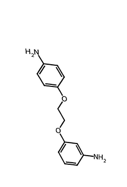 Nc1ccc(OCCOc2cccc(N)c2)cc1